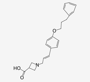 O=C(O)C1CN(C/C=C/c2ccc(OCCCc3ccccc3)cc2)C1